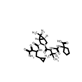 CC(C)(C)[C@H](NC(=O)NC1(C(=O)O)CCCC1)C(=O)N1C[C@H]2[C@@H]([C@H]1C(=O)NC(CC1CC1)C(=O)C(N)=O)C2(C)C